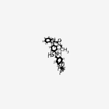 CCN(C(=O)c1nc2ccccc2[nH]1)[C@H]1CCCC(S)(NCc2ccc(OC(F)(F)F)cc2)C1